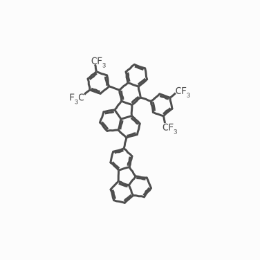 FC(F)(F)c1cc(-c2c3c(c(-c4cc(C(F)(F)F)cc(C(F)(F)F)c4)c4ccccc24)-c2ccc(-c4ccc5c(c4)-c4cccc6cccc-5c46)c4cccc-3c24)cc(C(F)(F)F)c1